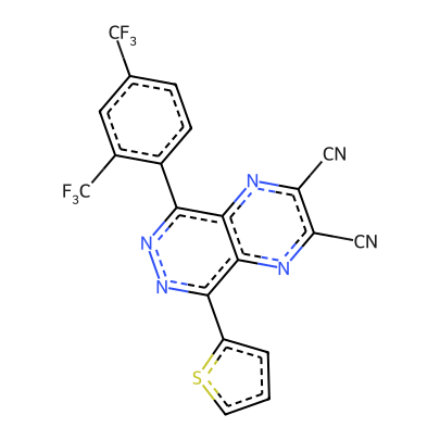 N#Cc1nc2c(-c3cccs3)nnc(-c3ccc(C(F)(F)F)cc3C(F)(F)F)c2nc1C#N